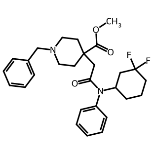 COC(=O)C1(CC(=O)N(c2ccccc2)C2CCCC(F)(F)C2)CCN(Cc2ccccc2)CC1